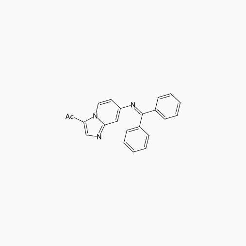 CC(=O)c1cnc2cc(N=C(c3ccccc3)c3ccccc3)ccn12